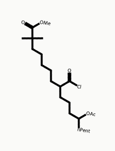 CCCCCC(CCCC(CCCCCC(C)(C)C(=O)OC)C(=O)Cl)OC(C)=O